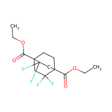 CCOC(=O)C12CCC(C(=O)OCC)(CC1(F)F)C(F)(F)C2